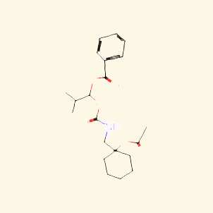 CC(=O)OC1(CNC(=O)OC(OC(=O)c2ccccc2)C(C)C)CCCCC1